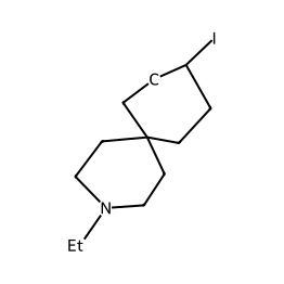 CCN1CCC2(CCC(I)CC2)CC1